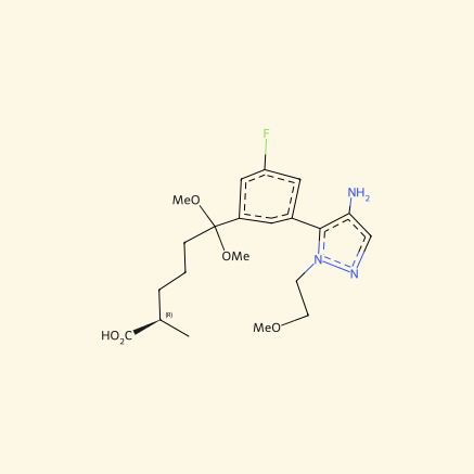 COCCn1ncc(N)c1-c1cc(F)cc(C(CCC[C@@H](C)C(=O)O)(OC)OC)c1